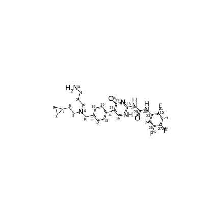 NCCCN(CCC1CC1)Cc1ccc(-c2c[nH]c(NC(=O)Nc3cc(F)c(F)cc3F)nc2=O)cc1